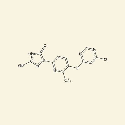 Cc1nc(-n2nc(C(C)(C)C)[nH]c2=O)ccc1Oc1cc(Cl)ncn1